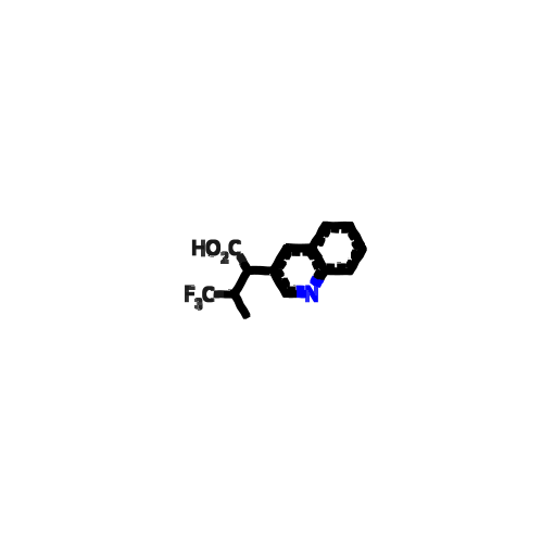 CC(C(C(=O)O)c1cnc2ccccc2c1)C(F)(F)F